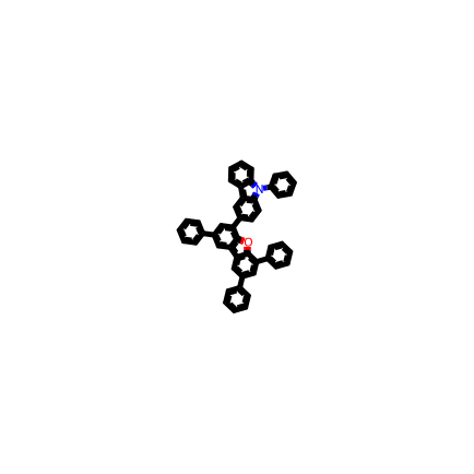 c1ccc(-c2cc(-c3ccccc3)c3oc4c(-c5ccc6c(c5)c5ccccc5n6-c5ccccc5)cc(-c5ccccc5)cc4c3c2)cc1